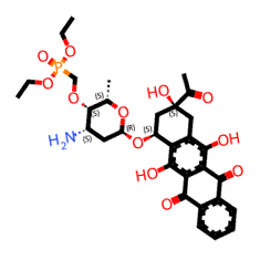 CCOP(=O)(CO[C@@H]1[C@H](C)O[C@@H](O[C@H]2C[C@](O)(C(C)=O)Cc3c(O)c4c(c(O)c32)C(=O)c2ccccc2C4=O)C[C@@H]1N)OCC